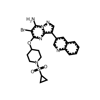 Nc1c(Br)c(OC2CCN(S(=O)(=O)C3CC3)CC2)nc2c(-c3cnc4ccccc4c3)cnn12